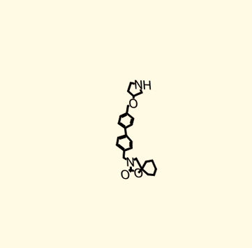 O=C1OC2(CCCCC2)CN1Cc1ccc(-c2ccc(COC3CCNC3)cc2)cc1